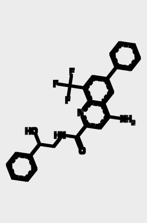 Nc1cc(C(=O)NCC(O)c2ccccc2)nc2c(C(F)(F)F)cc(-c3ccccc3)cc12